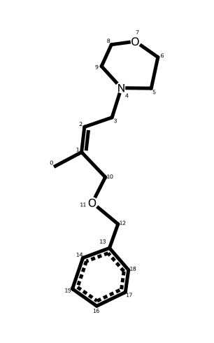 CC(=CCN1CCOCC1)COCc1ccccc1